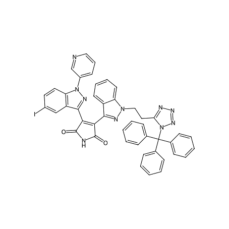 O=C1NC(=O)C(c2nn(-c3cccnc3)c3ccc(I)cc23)=C1c1nn(CCc2nnnn2C(c2ccccc2)(c2ccccc2)c2ccccc2)c2ccccc12